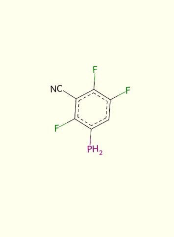 N#Cc1c(F)c(F)cc(P)c1F